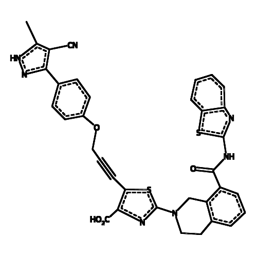 Cc1[nH]nc(-c2ccc(OCC#Cc3sc(N4CCc5cccc(C(=O)Nc6nc7ccccc7s6)c5C4)nc3C(=O)O)cc2)c1C#N